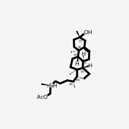 CC(=O)OC[Si@@H](C)CCC[C@@H](C)[C@H]1CC[C@H]2[C@@H]3CC=C4C[C@@](C)(O)CC[C@]4(C)[C@H]3CC[C@]12C